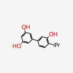 CC(C)c1ccc(-c2cc(O)cc(O)c2)cc1O